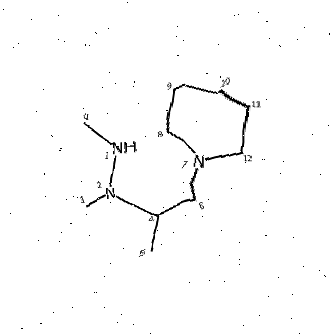 CNN(C)C(C)CN1CCCCC1